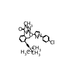 Cn1nnn(-c2cccc(C#CS(C)(C)C)c2COc2ccn(-c3ccc(Cl)cc3)n2)c1=O